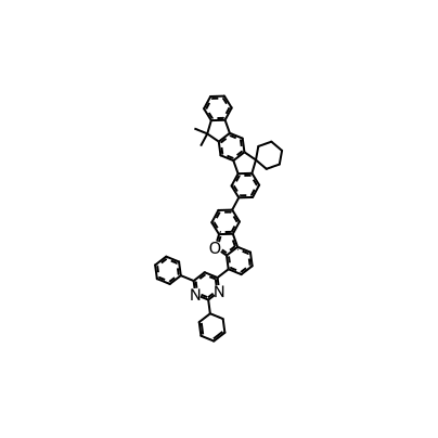 CC1(C)c2ccccc2-c2cc3c(cc21)-c1cc(-c2ccc4oc5c(-c6cc(-c7ccccc7)nc(C7C=CC=CC7)n6)cccc5c4c2)ccc1C31CCCCC1